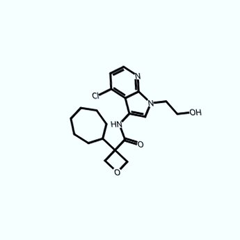 O=C(Nc1cn(CCO)c2nccc(Cl)c12)C1(C2CCCCCC2)COC1